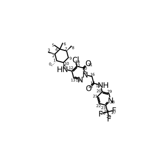 C[C@@H]1[C@@H](C)C(C)(C)[C@@H](C)C[C@H]1Nc1cnn(CC(=O)Nc2ccc(C(F)(F)F)nc2)c(=O)c1Cl